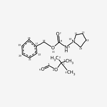 CC(C)(C)OC=O.O=C(NN1CCCC1)OCc1ccccc1